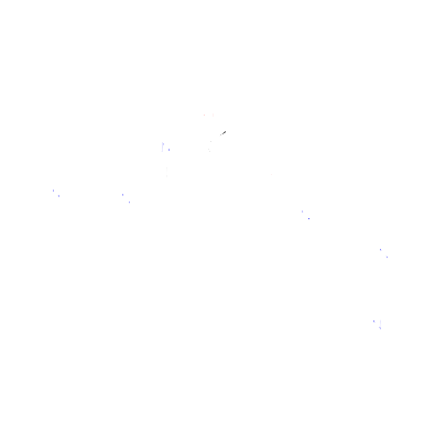 C[C@@H]1CN(c2ccc(C#N)c3ncccc23)C[C@H](CC2C[C@@H]3[C@@H](C2)OCCN3c2cnc3c(c2)CCNC3)O1